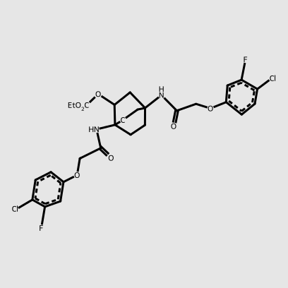 CCOC(=O)OC1CC2(NC(=O)COc3ccc(Cl)c(F)c3)CCC1(NC(=O)COc1ccc(Cl)c(F)c1)CC2